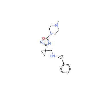 CN1CCN(c2nc(C3(CN[C@@H]4C[C@H]4c4ccccc4)CC3)no2)CC1